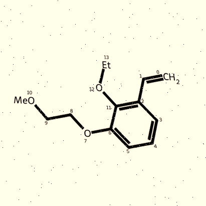 C=Cc1cccc(OCCOC)c1OCC